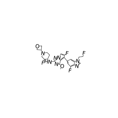 COc1nc(N[C@H]2CCN(C3COC3)C[C@@H]2F)nn2cc(F)c(-c3cc(F)c4ncn(CCF)c4c3)c12